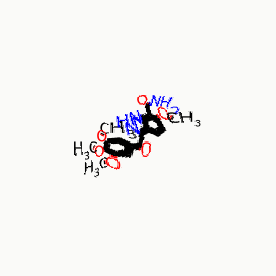 COc1cc(C(=O)c2n[nH]c3c(C(N)=O)c(OC)ccc23)cc(OC)c1OC